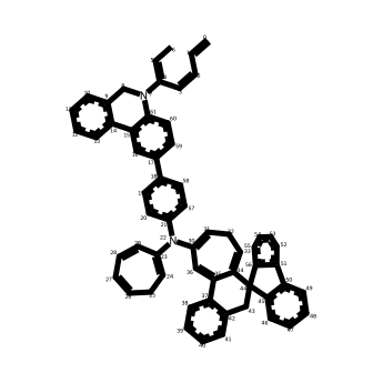 C=C/C=C\C(=C/C)N1Cc2ccccc2-c2cc(-c3ccc(N(C4=CCC=CC=C4)C4=CCC=C5C(=C4)c4ccccc4CC54c5ccccc5-c5ccccc54)cc3)ccc21